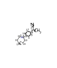 CC(C#N)c1ccc(/C2=C/CCCCCC2)cc1